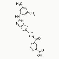 Cc1cc(C)cc(Nc2ncc3c(n2)CN(C2CN(C(=O)c4cccc(C(=O)O)c4)C2)C3)c1